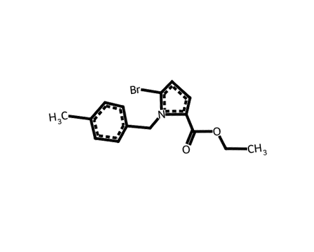 CCOC(=O)c1ccc(Br)n1Cc1ccc(C)cc1